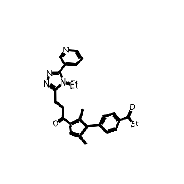 CCC(=O)c1ccc(C2C(C)=CC(C(=O)CCc3nnc(-c4cccnc4)n3CC)=C2C)cc1